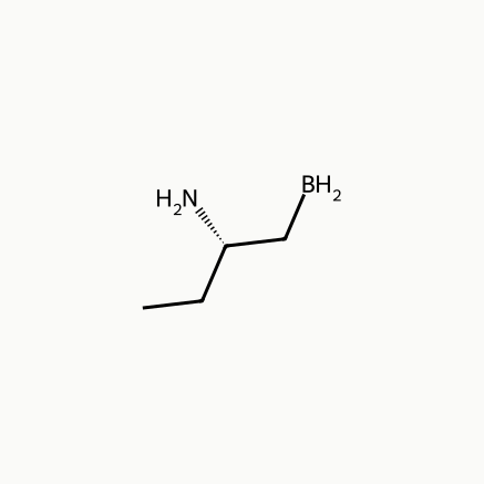 BC[C@@H](N)CC